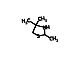 CC1NC(C)(C)CS1